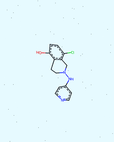 Oc1ccc(Cl)c2c1CCN(Nc1ccncc1)C2